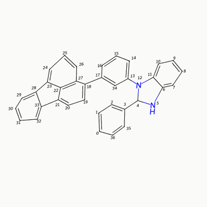 c1ccc(C2Nc3ccccc3N2c2cccc(-c3ccc4c5c(cccc35)-c3ccccc3-4)c2)cc1